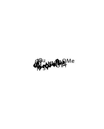 COC(=O)N[C@H](C(=O)N1CCC[C@H]1c1ncc(-c2cc3c(C)c4sc(-c5cnc([C@@H]6CCCN6C(=O)OC(C)(C)C)[nH]5)cc4c(C)c3s2)[nH]1)C(C)C